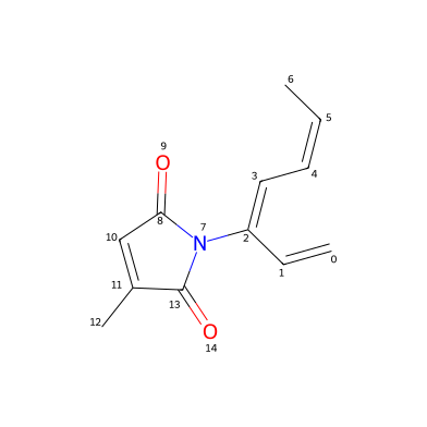 C=C/C(=C\C=C/C)N1C(=O)C=C(C)C1=O